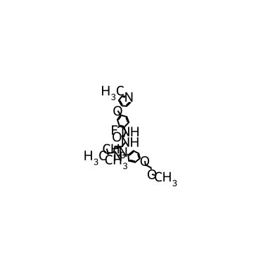 COCCOc1ccc(-n2nc(C(C)(C)C)cc2NC(=O)Nc2ccc(Oc3ccnc(C)c3)cc2F)cc1